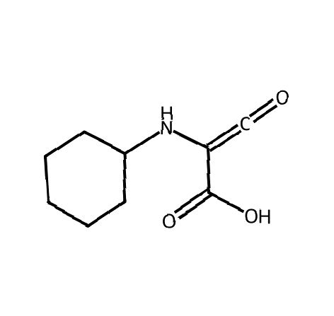 O=C=C(NC1CCCCC1)C(=O)O